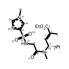 CCOC(=O)/C(C)=C/[C@H](C(C)C)N(C)C(=O)CNS(=O)(=O)c1cn(C)cn1